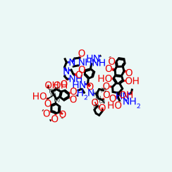 CC(CN1CC(=O)NC(=O)C1)N1CC(=O)NC(=O)C1.CCNN.CNNCc1ccc(C(=O)NC(C)C)cc1.COc1cc([C@@H]2c3cc4c(cc3[C@H](O)[C@@H](CO)[C@@H]2C(=O)O)OCO4)cc(OC)c1OC.COc1cccc2c1C(=O)c1c(O)c3c(c(O)c1C2=O)C[C@@](O)(C(=O)CO)CC3O[C@H]1C[C@H](N)[C@H](O[C@@H]2CCCCO2)[C@H](C)O1